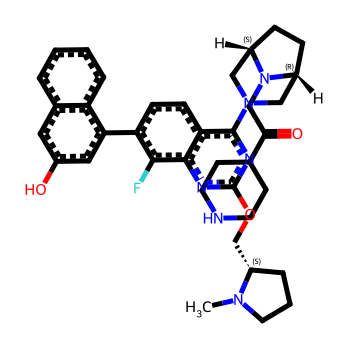 CN1CCC[C@H]1COc1nc(N2C[C@H]3CC[C@@H](C2)N3CC(=O)C2CCNCC2)c2ccc(-c3cc(O)cc4ccccc34)c(F)c2n1